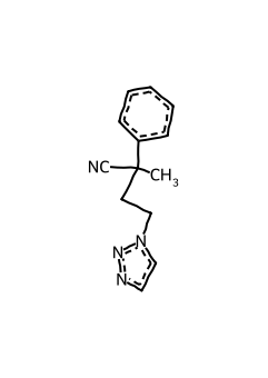 CC(C#N)(CCn1ccnn1)c1ccccc1